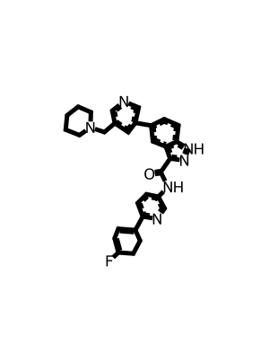 O=C(Nc1ccc(C2=CC=C(F)CC2)nc1)c1n[nH]c2ccc(-c3cncc(CN4CCCCC4)c3)cc12